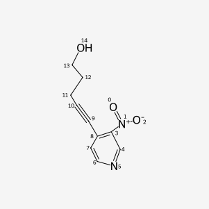 O=[N+]([O-])c1cnccc1C#CCCCO